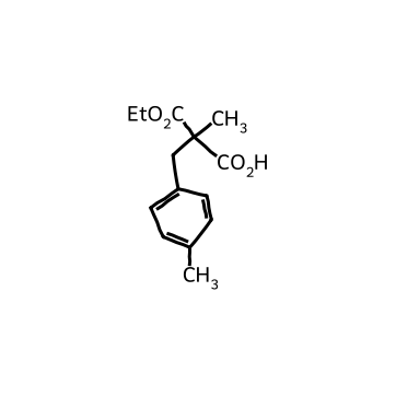 CCOC(=O)C(C)(Cc1ccc(C)cc1)C(=O)O